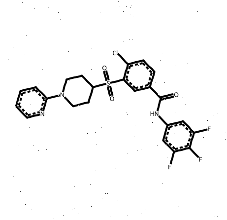 O=C(Nc1cc(F)c(F)c(F)c1)c1ccc(Cl)c(S(=O)(=O)C2CCN(c3ccccn3)CC2)c1